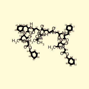 CC(C)CC(NC(=O)C(Cc1ccccc1)NC(=O)CNC(=O)CCC(NC(=O)OC(C)(C)C)C(=O)NCC(=O)NC(Cc1ccccc1)C(=O)NC(CC(C)C)C(=O)NCC(=O)OCc1ccccc1)C(=O)NCC(=O)OCc1ccccc1